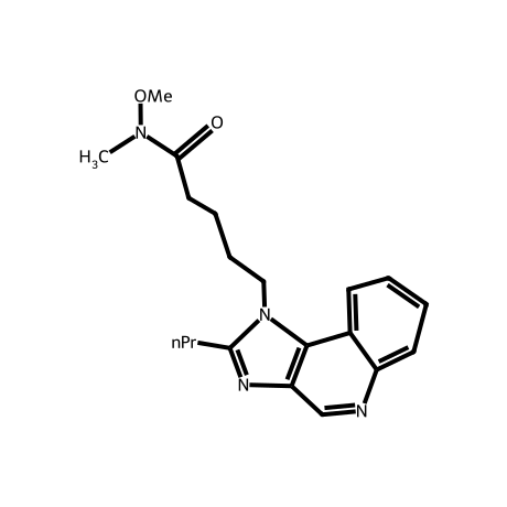 CCCc1nc2cnc3ccccc3c2n1CCCCC(=O)N(C)OC